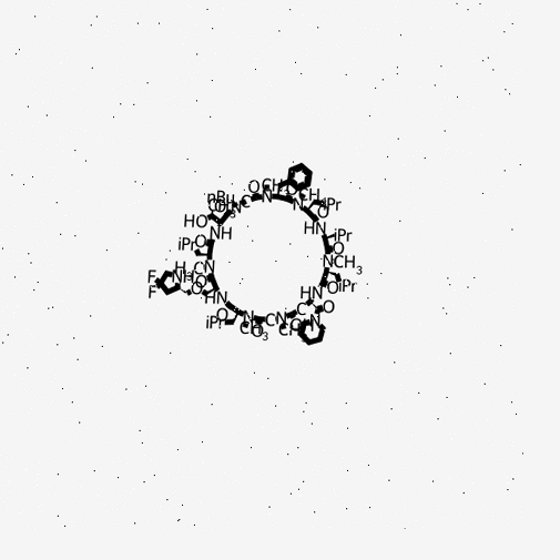 CCCCN1CC(=O)N(C)[C@@H](Cc2ccccc2)C(=O)N(C)[C@@H](CC(C)C)C(=O)N[C@@H](C(C)C)C(=O)N(C)[C@@H](CC(C)C)C(=O)N[C@H](C(=O)N2CCCCC2)CC(O)N(C)CC(=O)N(C)[C@@H](CC(C)C)C(=O)N[C@@H](COC[C@@H]2CC(F)(F)CN2)C(=O)N(C)[C@@H](CC(C)C)C(=O)N[C@@H]([C@@H](C)O)C1=O